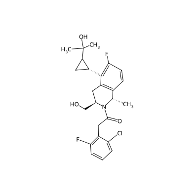 C[C@H]1c2ccc(F)c([C@@H]3CC3C(C)(C)O)c2C[C@H](CO)N1C(=O)Cc1c(F)cccc1Cl